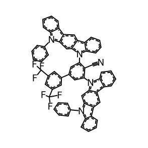 N#Cc1c(-n2c3ccccc3c3cc4c5ccccc5n(-c5ccccc5)c4cc32)cc(-c2cc(C(F)(F)F)cc(C(F)(F)F)c2)cc1-n1c2ccccc2c2cc3c4ccccc4n(-c4ccccc4)c3cc21